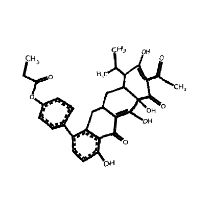 CCC(=O)Oc1ccc(-c2ccc(O)c3c2CC2CC4C(C(C)C)C(O)=C(C(C)=O)C(=O)C4(O)C(O)=C2C3=O)cc1